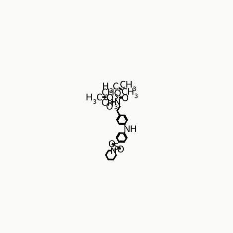 CC(C)(C)OC(=O)N(CCc1ccc(Nc2ccc(S(=O)(=O)N3CCCCC3)cc2)cc1)C(=O)OC(C)(C)C